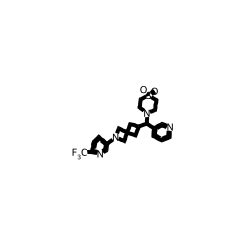 O=S1(=O)CCN(C(c2cccnc2)C2CC3(C2)CN(c2ccc(C(F)(F)F)nc2)C3)CC1